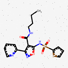 CCCCNC(=O)c1c(-c2ccccn2)noc1NS(=O)(=O)c1cccs1